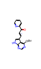 CC(C)COc1ncnc2[nH]cc(/C=C/C(=O)c3ccccn3)c12